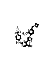 Cc1nc(CN2CCC2)ccc1-n1cnc(-c2nc(NC3CCN(S(C)(=O)=O)CC3)ncc2C(F)(F)F)c1